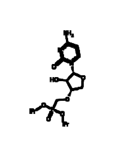 CC(C)OP(=O)(CO[C@H]1CO[C@@H](n2ccc(N)nc2=O)[C@@H]1O)OC(C)C